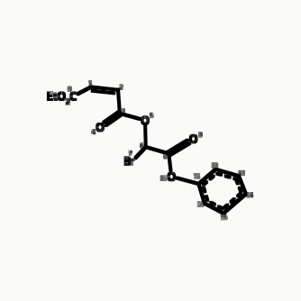 CCOC(=O)/C=C\C(=O)OC(Br)C(=O)Oc1ccccc1